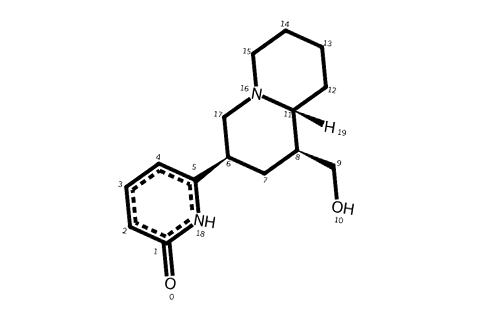 O=c1cccc([C@@H]2C[C@H](CO)[C@H]3CCCCN3C2)[nH]1